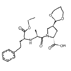 CCOC(=O)[C@H](CCc1ccccc1)N[C@@H](C)C(=O)N1C[C@@H](C2OCCCO2)C[C@@H]1C(=O)O